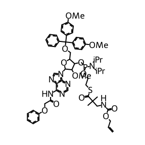 C=CCOC(=O)NCC(C)(C)C(=O)SCCOP(OC1C(COC(c2ccccc2)(c2ccc(OC)cc2)c2ccc(OC)cc2)OC(n2cnc3c(NC(=O)COc4ccccc4)ncnc32)C1OC)N(C(C)C)C(C)C